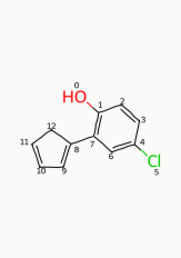 Oc1ccc(Cl)cc1C1=CC=CC1